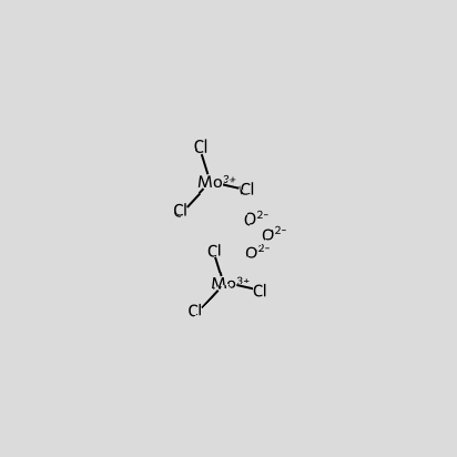 [Cl][Mo+3]([Cl])[Cl].[Cl][Mo+3]([Cl])[Cl].[O-2].[O-2].[O-2]